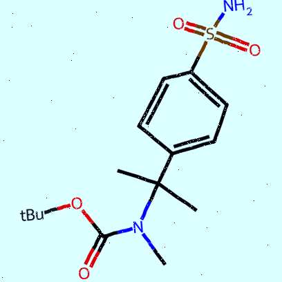 CN(C(=O)OC(C)(C)C)C(C)(C)c1ccc(S(N)(=O)=O)cc1